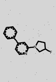 FC1CCN(c2cc(-c3ccccc3)ccn2)C1